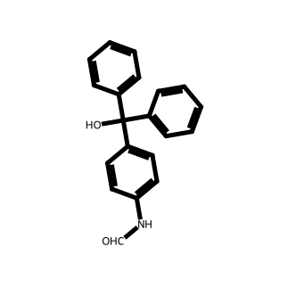 O=CNc1ccc(C(O)(c2ccccc2)c2ccccc2)cc1